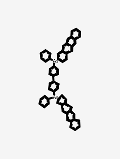 c1ccc([As](c2ccc(-c3ccc([As](c4ccccc4)c4ccc5cc6cc7ccccc7cc6cc5c4)cc3)cc2)c2ccc3cc4cc5ccccc5cc4cc3c2)cc1